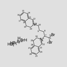 Br.Br.Br.Br.BrC(Br)C(CCC[N+]1=Cc2ccccc2CC1)[N+]1=Cc2ccccc2CC1